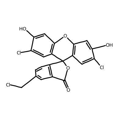 O=C1OC2(c3cc(Cl)c(O)cc3Oc3cc(O)c(Cl)cc32)c2ccc(CCl)cc21